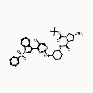 CC(C)(C)OC(=O)N1C[C@@H](N)C[C@H]1C(=O)N[C@H]1CCC[C@@H](Nc2ncc(Cl)c(-c3cn(S(=O)(=O)c4ccccc4)c4ccccc34)n2)C1